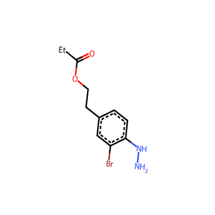 CCC(=O)OCCc1ccc(NN)c(Br)c1